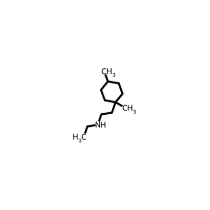 CCNCCC1(C)CCC(C)CC1